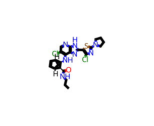 CCCNC(=O)[C@@H]1[C@H](Nc2c(Cl)cnc3[nH]c(-c4sc(N5CCCC5)nc4Cl)nc23)[C@H]2C=C[C@@H]1C2